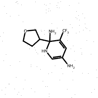 NC1=CNC(N)(C2CCOC2)C(C(F)(F)F)=C1